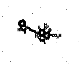 CC1Nc2ccccc2N1CCCNc1c(F)c(N)c2c(=O)c(C(=O)O)cn3c2c1OC[C@@H]3C